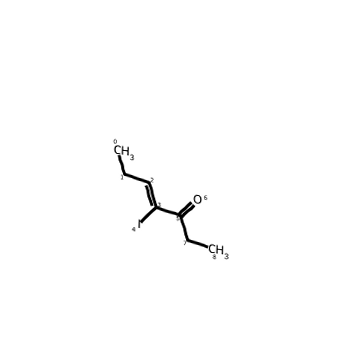 CC/C=C(\I)C(=O)CC